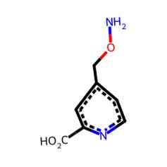 NOCc1ccnc(C(=O)O)c1